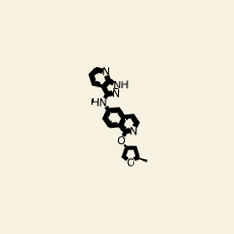 C[C@@H]1C[C@H](Oc2nccc3cc(Nc4n[nH]c5ncccc45)ccc23)CO1